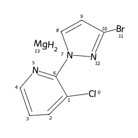 Clc1cccnc1-n1ccc(Br)n1.[MgH2]